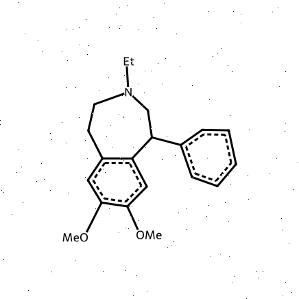 CCN1CCc2cc(OC)c(OC)cc2C(c2ccccc2)C1